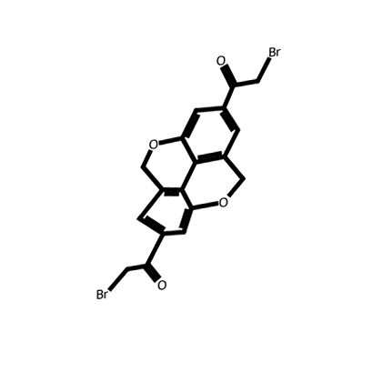 O=C(CBr)c1cc2c3c(c1)OCc1cc(C(=O)CBr)cc(c1-3)OC2